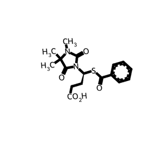 CN1C(=O)N([C@H](CCC(=O)O)SC(=O)c2ccccc2)C(=O)C1(C)C